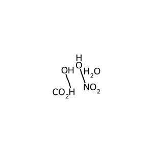 O.O=C(O)O.O=[N+]([O-])O